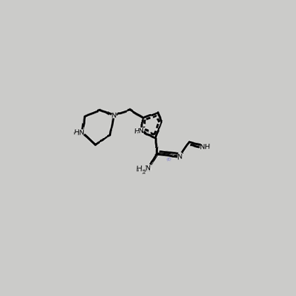 N=C/N=C(/N)c1ccc(CN2CCNCC2)[nH]1